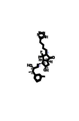 Cc1cccc([C@H](C)[C@H](O)/C=C/[C@@H]2[C@@H]3[C@H](C[C@H]2O)C(=O)/C(=C/CCCc2nnn[nH]2)C3(F)F)c1